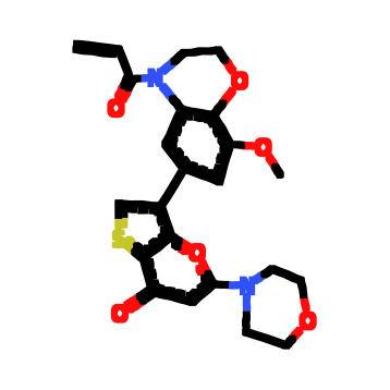 C=CC(=O)N1CCOc2c(OC)cc(-c3csc4c(=O)cc(N5CCOCC5)oc34)cc21